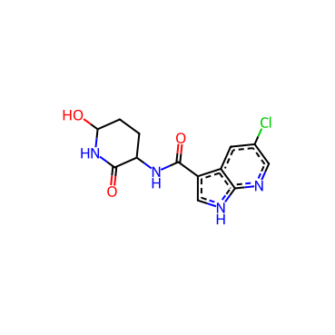 O=C(NC1CCC(O)NC1=O)c1c[nH]c2ncc(Cl)cc12